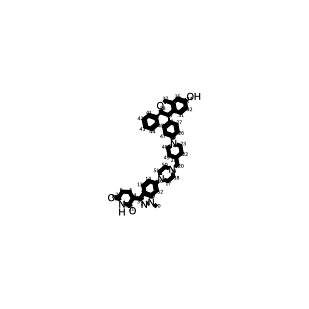 Cn1nc(C2CCC(=O)NC2=O)c2ccc(N3CCN(CC4CCN(c5ccc([C@@H]6c7ccc(O)cc7CO[C@@H]6c6ccccc6)cc5)CC4)CC3)cc21